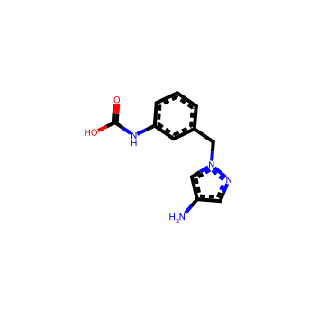 Nc1cnn(Cc2cccc(NC(=O)O)c2)c1